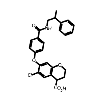 CC(CNC(=O)c1ccc(Oc2cc3c(cc2Cl)C(C(=O)O)CCO3)cc1)c1ccccc1